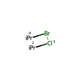 CC(C)Br.CC(C)Cl